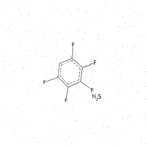 Fc1cc(F)c(F)c(F)c1F.S